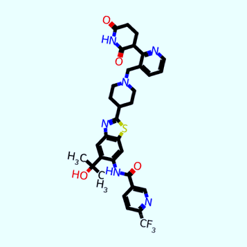 CC(C)(O)c1cc2nc(C3CCN(Cc4cccnc4C4CCC(=O)NC4=O)CC3)sc2cc1NC(=O)c1ccc(C(F)(F)F)nc1